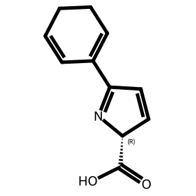 O=C(O)[C@H]1C=CC(C2=CCCC=C2)=N1